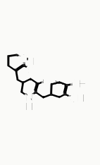 CC1=C(C)CC(CC2=C(C)CC(CC3=C(C)OCCC3)CN2)CC1